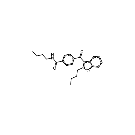 CCCCNC(=O)c1ccc(C(=O)c2c(CCCC)oc3ccccc23)cc1